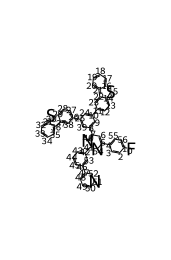 Fc1ccc(-c2cc(-c3cc(-c4ccc5sc6ccccc6c5c4)cc(-c4ccc5sc6ccccc6c5c4)c3)nc(-c3cccc(-c4cccnc4)c3)n2)cc1